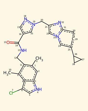 Cc1cc2[nH]cc(Cl)c2c(C)c1CNC(=O)c1cnn(Cc2cn3cc(C4CC4)ccc3n2)c1